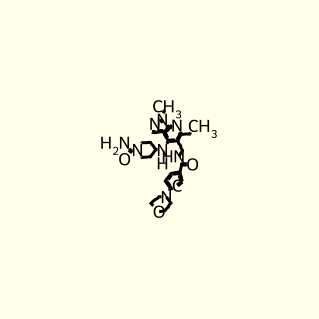 CCc1nc2c(cnn2CC)c(NC2CCN(C(N)=O)CC2)c1CNC(=O)c1ccc(N2CCOCC2)cc1